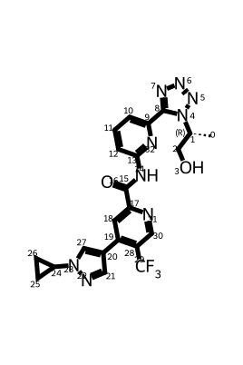 C[C@H](CO)n1nnnc1-c1cccc(NC(=O)c2cc(-c3cnn(C4CC4)c3)c(C(F)(F)F)cn2)n1